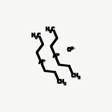 CC[CH2][Al+][CH2]CC.CC[CH2][Al+][CH2]CC.[O-2]